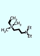 C=C[Si](C)(C)CCCN(CC)CC